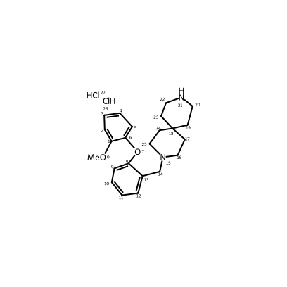 COc1ccccc1Oc1ccccc1CN1CCC2(CCNCC2)CC1.Cl.Cl